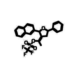 C/C(OS(=O)(=O)C(F)(F)F)=C1\CC(c2ccccc2)OC1c1ccc2ccccc2c1